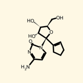 Nc1ccn([C@]2(C3=CCCC3)O[C@H](CO)[C@@H](O)[C@H]2O)c(=O)n1